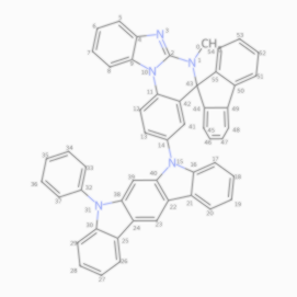 CN1c2nc3ccccc3n2-c2ccc(-n3c4ccccc4c4cc5c6ccccc6n(-c6ccccc6)c5cc43)cc2C12c1ccccc1-c1ccccc12